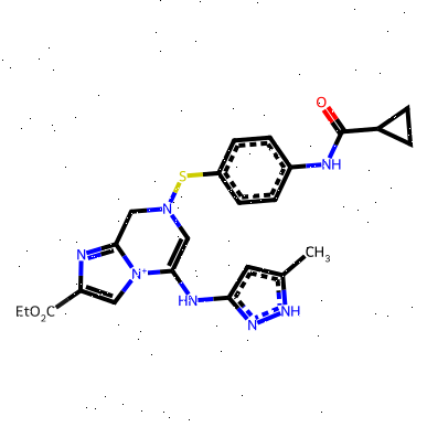 CCOC(=O)C1=C[N+]2C(Nc3cc(C)[nH]n3)=CN(Sc3ccc(NC(=O)C4CC4)cc3)CC2=N1